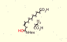 C=CC(=O)O.CCCCCCC(O)C/C=C\CCCCCCCC(=O)O